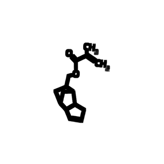 C=C(C)C(=O)OCC1CC2CC1C1CC=CC21